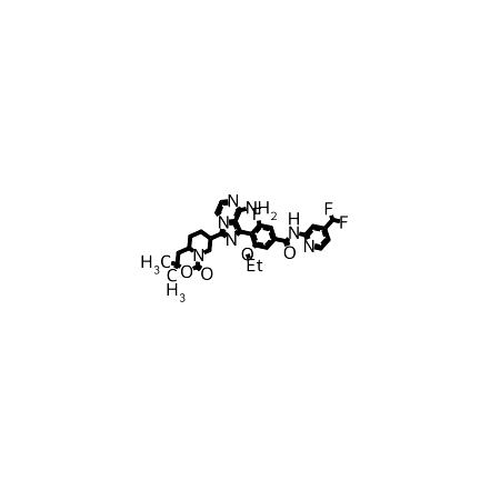 CCOc1cc(C(=O)Nc2cc(C(F)F)ccn2)cc(F)c1-c1nc(C2CCC3CC(C)(C)OC(=O)N3C2)n2ccnc(N)c12